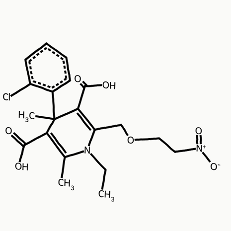 CCN1C(C)=C(C(=O)O)C(C)(c2ccccc2Cl)C(C(=O)O)=C1COCC[N+](=O)[O-]